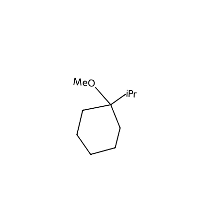 COC1(C(C)C)CCCCC1